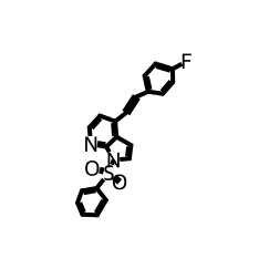 O=S(=O)(c1ccccc1)n1ccc2c(C#Cc3ccc(F)cc3)ccnc21